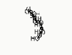 C/C(=N\NC(=O)c1ccc(C(=O)NCc2ccc(C(=O)NCCOCCO)cc2)cc1)c1csc(-c2ccc(Cl)c(Cl)c2)c1O